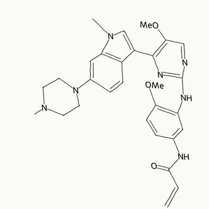 C=CC(=O)Nc1ccc(OC)c(Nc2ncc(OC)c(-c3cn(C)c4cc(N5CCN(C)CC5)ccc34)n2)c1